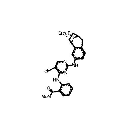 CCOC(=O)N1C2CCC1c1cc(Nc3ncc(Cl)c(Nc4ccccc4C(=O)NC)n3)ccc1C2